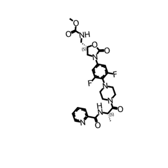 COC(=O)NC[C@H]1CN(c2cc(F)c(N3CCN(C(=O)[C@H](C)NC(=O)c4ccccn4)CC3)c(F)c2)C(=O)O1